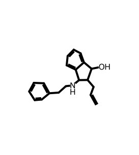 C=CCC1C(O)c2ccccc2C1NCCc1ccccc1